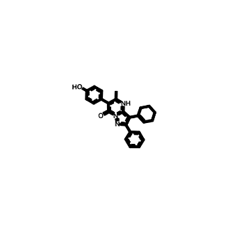 Cc1[nH]c2c(C3=CCCCC3)c(-c3ccccc3)nn2c(=O)c1-c1ccc(O)cc1